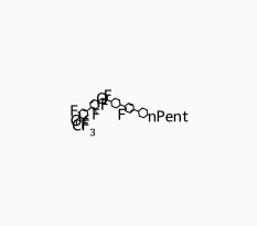 CCCCCC1CCC(c2ccc(C3CCC(C(F)(F)Oc4ccc(-c5cc(F)c(OC(F)(F)F)c(F)c5)c(F)c4)CC3)c(F)c2)CC1